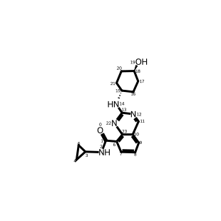 O=C(NC1CC1)c1cccc2cnc(N[C@H]3CC[C@H](O)CC3)nc12